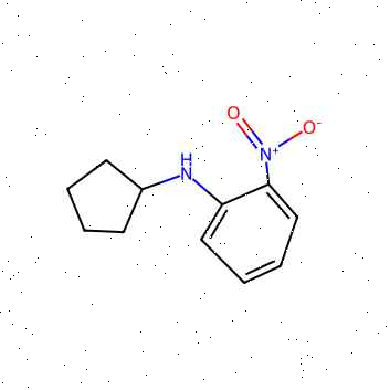 O=[N+]([O-])c1ccccc1NC1CCCC1